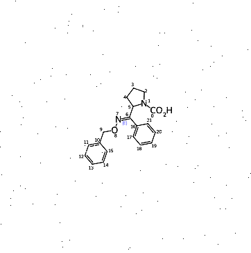 O=C(O)N1CCCC1/C(=N/OCc1ccccc1)c1ccccc1